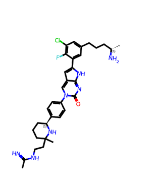 CC(=N)NCCC1(C)CCC[C@@H](c2ccc(-n3cc4cc(-c5cc(CCC[C@H](C)N)cc(Cl)c5F)[nH]c4nc3=O)cc2)N1